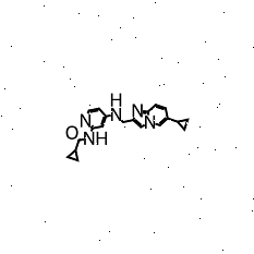 O=C(Nc1cc(NCc2cn3cc(C4CC4)ccc3n2)ccn1)C1CC1